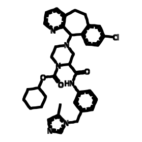 Cc1cncn1Cc1cccc(NC(=O)C2CN(C3c4ccc(Cl)cc4CCc4cccnc43)CCN2C(=O)OC2CCCCC2)c1